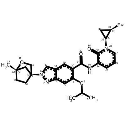 CC(C)Oc1cc2nn([C@@]34CC[C@@](C)(C3)OC4)cc2cc1C(=O)Nc1cccn([C@H]2C[C@H]2F)c1=O